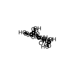 O=C(Nc1cc(S(=O)(=O)O)cc2cc(SOOO)cc(O)c12)c1cccc(Nc2nc(Cl)nc(Nc3cc(S(=O)(=O)O)ccc3O)n2)c1